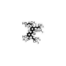 COc1c(O)cc2oc3cc(OC(C)(C)CCO)c(CC=C(C)C)c(O)c3c(=O)c2c1CC=C(C)C